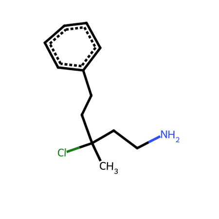 CC(Cl)(CCN)CCc1ccccc1